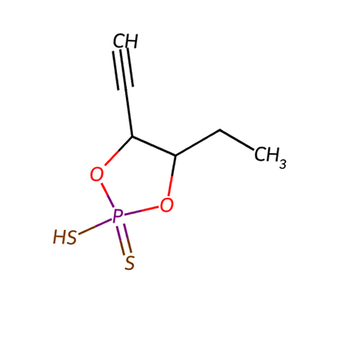 C#CC1OP(=S)(S)OC1CC